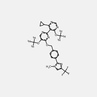 [2H]C([2H])([2H])Oc1cnc(-c2c(OC([2H])([2H])[2H])ncnc2C2CC2)nc1OCc1ccc(-c2nc(C(F)(F)F)cn2C)cc1